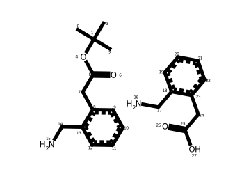 CC(C)(C)OC(=O)Cc1ccccc1CN.NCc1ccccc1CC(=O)O